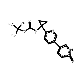 CC(C)(C)OC(=O)NC1(c2ccc(-c3ccc(=O)[nH]c3)cn2)CC1